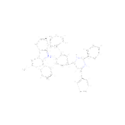 N#Cc1ccc2c(c1)c1ccccc1n2-c1c(-c2ccccc2)cc(-c2cc(C3=CCCC=C3)nc(-c3ccccc3)n2)cc1-c1ccccc1